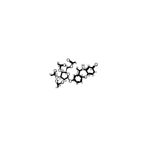 CC(=O)OC[C@H]1O[C@@H](Oc2ccc3c(c2)C(C)NC2=CC(=O)CC=C2O3)[C@H](OC(C)=O)[C@@H](OC(C)=O)[C@H]1OC(C)=O